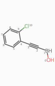 OBC#Cc1ccccc1Cl